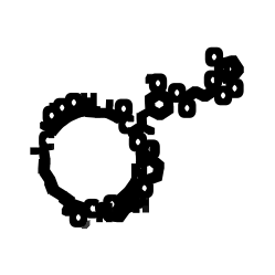 CO[C@H]1C[C@@H]2CC[C@@H](C)[C@@](O)(O2)C(=O)C(=O)N2CCCC[C@H]2C(=O)O[C@H]([C@H](C)C[C@@H]2CC[C@@H](OC(=O)CCC(=O)ON3C(=O)CCC3=O)[C@H](OC)C2)CC(=O)[C@H](C)/C=C(\C)[C@@H](O)[C@@H](OC)C(=O)[C@H](C)C[C@H](C)/C=C/C=C/C=C/1C